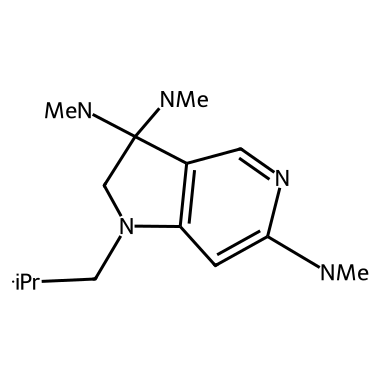 CNc1cc2c(cn1)C(NC)(NC)CN2C[C](C)C